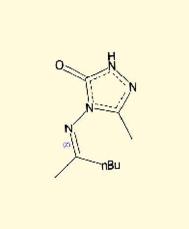 CCCC/C(C)=N\n1c(C)n[nH]c1=O